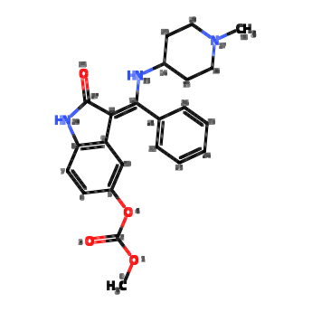 COC(=O)Oc1ccc2c(c1)/C(=C(/NC1CCN(C)CC1)c1ccccc1)C(=O)N2